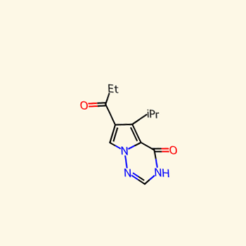 CCC(=O)c1cn2nc[nH]c(=O)c2c1C(C)C